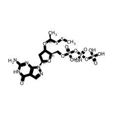 CSS[C@H](C)OC1C[C@H](n2ncc3c(=O)[nH]c(N)nc32)O[C@@H]1COP(=O)(O)OP(=O)(O)OP(=O)(O)O